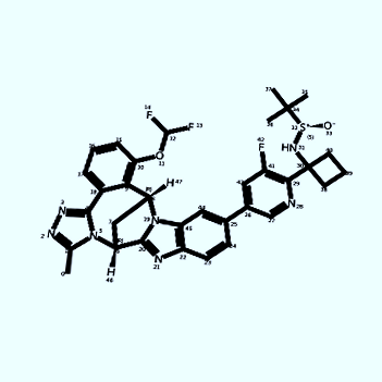 Cc1nnc2n1[C@@H]1C[C@H](c3c(OC(F)F)cccc3-2)n2c1nc1ccc(-c3cnc(C4(N[S@+]([O-])C(C)(C)C)CCC4)c(F)c3)cc12